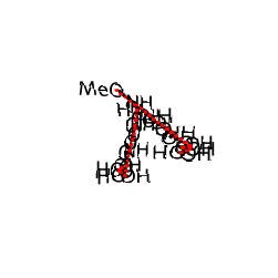 COCCCCCCNC(=O)C[C@H](CCCCNC(=O)CCOCCOCCNC(=O)CCCCO[C@@H]1OC(CO)[C@@H](O)[C@H](O)C1O)NC(=O)CCCNC(=O)CCOCCOCCNC(=O)CCCCO[C@@H]1OC(CO)[C@@H](O)[C@H](O)C1O